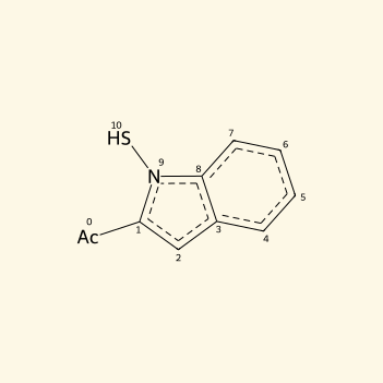 CC(=O)c1cc2ccccc2n1S